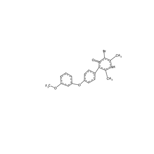 Cc1[nH]c(C)c(-c2ccc(Oc3cccc(OC(F)(F)F)c3)cc2)c(=O)c1Br